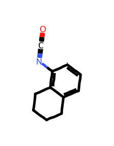 O=C=Nc1[c]ccc2c1CCCC2